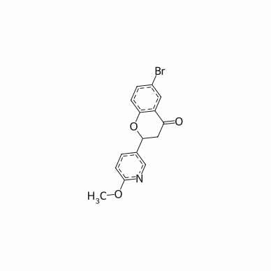 COc1ccc(C2CC(=O)c3cc(Br)ccc3O2)cn1